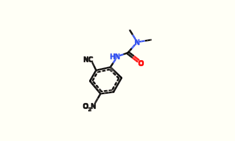 CN(C)C(=O)Nc1ccc([N+](=O)[O-])cc1C#N